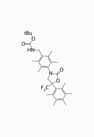 Cc1c(C)c(C)c(C2(C(F)(F)F)CN(c3c(C)c(C)c(CNC(=O)OC(C)(C)C)c(C)c3C)C(=O)O2)c(C)c1C